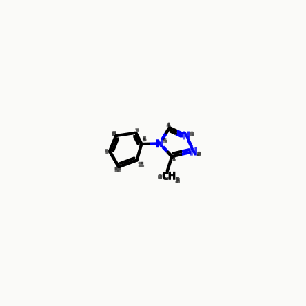 Cc1nncn1-c1ccccc1